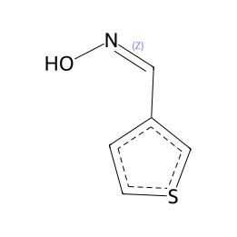 O/N=C\c1ccsc1